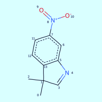 CC1(C)C=Nc2cc([N+](=O)[O-])ccc21